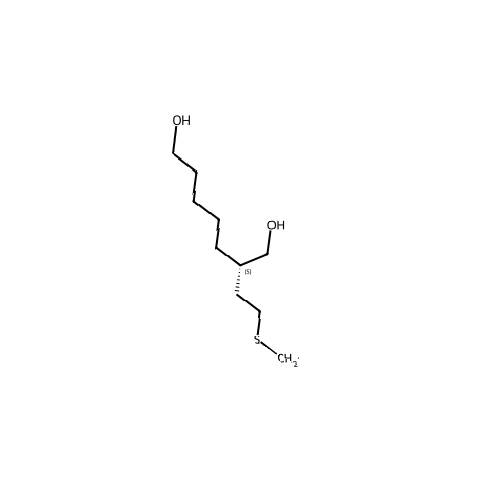 [CH2]SCC[C@@H](CO)CCCCCO